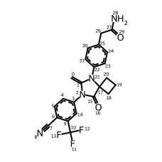 C=C1N(c2ccc(C#N)c(C(F)(F)F)c2)C(=O)C2(CCC2)N1c1ccc(CC(N)=O)cc1